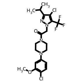 COc1cc(N2CCN(C(=O)Cn3nc(C(C)C)c(Cl)c3C(F)(F)F)CC2)ccc1Cl